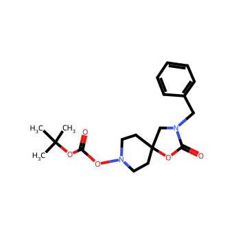 CC(C)(C)OC(=O)ON1CCC2(CC1)CN(Cc1ccccc1)C(=O)O2